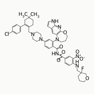 CC1(C)CCC(CN2CCN(c3ccc(C(=O)NS(=O)(=O)c4ccc(NCC5(F)CCCOC5)c([N+](=O)[O-])c4)c(N4CCCOc5nc6[nH]ccc6cc54)c3)CC2)=C(c2ccc(Cl)cc2)C1